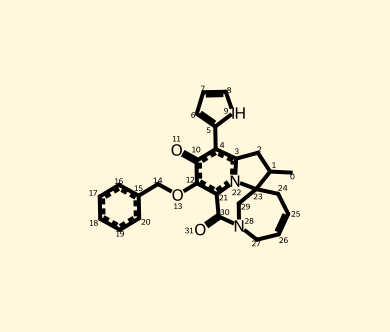 CC1Cc2c(C3=CC=C[IH]3)c(=O)c(OCc3ccccc3)c3n2C12CC=CCN(C2)C3=O